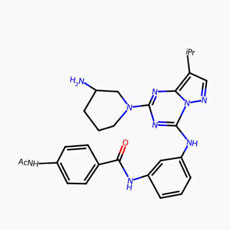 CC(=O)Nc1ccc(C(=O)Nc2cccc(Nc3nc(N4CCCC(N)C4)nc4c(C(C)C)cnn34)c2)cc1